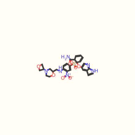 NC(=O)C1C=CC=CC1(Oc1cnc2[nH]ccc2c1)S(=O)(=O)c1ccc(NCC2CN(C3COC3)CCO2)c([N+](=O)[O-])c1